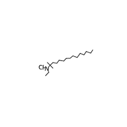 CCCCCCCCCCCCCC(C)(C)N(Cl)CC